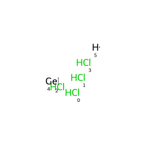 Cl.Cl.Cl.Cl.[Ge].[H]